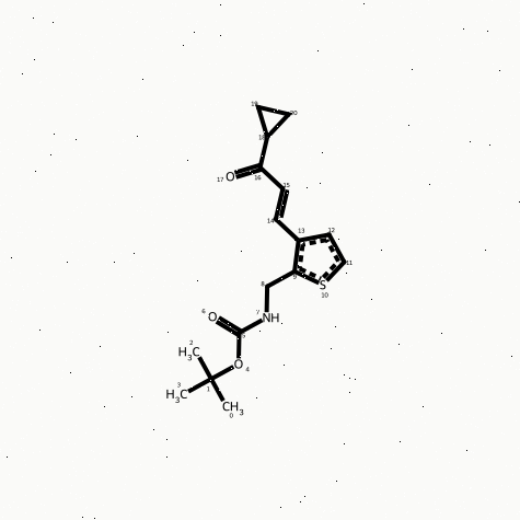 CC(C)(C)OC(=O)NCc1sccc1/C=C/C(=O)C1CC1